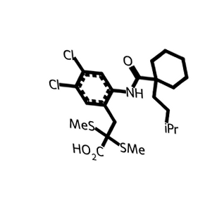 CSC(Cc1cc(Cl)c(Cl)cc1NC(=O)C1(CCC(C)C)CCCCC1)(SC)C(=O)O